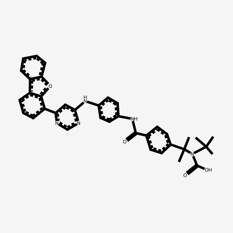 CC(C)(C)N(C(=O)O)C(C)(C)c1ccc(C(=O)Nc2ccc(Nc3cc(-c4cccc5c4oc4ccccc45)ncn3)cc2)cc1